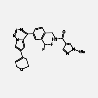 CC(C)(C)n1cc(C(=O)NCc2ccc(-c3ncnn4cc(C5=CCOCC5)cc34)cc2C(F)F)cn1